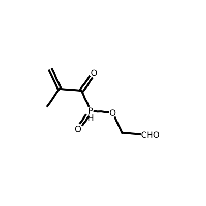 C=C(C)C(=O)[PH](=O)OCC=O